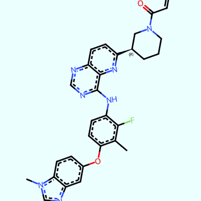 C=CC(=O)N1CCC[C@@H](c2ccc3ncnc(Nc4ccc(Oc5ccc6c(c5)ncn6C)c(C)c4F)c3n2)C1